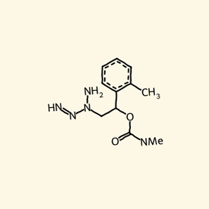 CNC(=O)OC(CN(N)N=N)c1ccccc1C